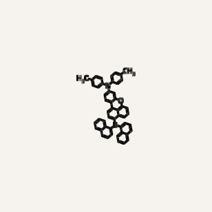 Cc1ccc(N(c2ccc(C)cc2)c2ccc3c(c2)Oc2cccc4c(B(c5cccc6ccccc56)c5cccc6ccccc56)ccc-3c24)cc1